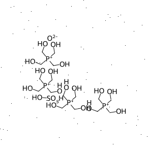 O=S(=O)(O)O.OC[P+](CO)(CO)CO.OC[P+](CO)(CO)CO.OC[P+](CO)(CO)CO.OC[P+](CO)(CO)CO.[O-2]